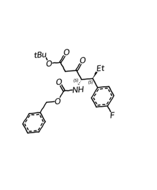 CC[C@@H](c1ccc(F)cc1)[C@H](NC(=O)OCc1ccccc1)C(=O)CC(=O)OC(C)(C)C